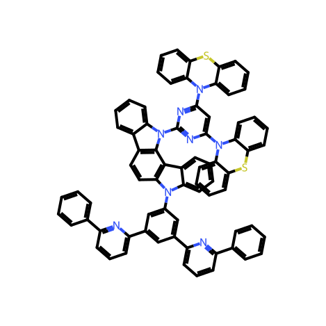 c1ccc(-c2cccc(-c3cc(-c4cccc(-c5ccccc5)n4)cc(-n4c5ccccc5c5c4ccc4c6ccccc6n(-c6nc(N7c8ccccc8Sc8ccccc87)cc(N7c8ccccc8Sc8ccccc87)n6)c45)c3)n2)cc1